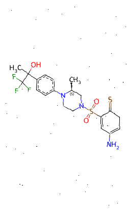 C[C@H]1CN(S(=O)(=O)C2=CC(N)=CCC2=S)CCN1c1ccc(C(C)(O)C(F)(F)F)cc1